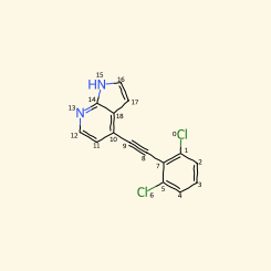 Clc1cccc(Cl)c1C#Cc1ccnc2[nH]ccc12